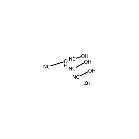 N#CO.N#CO.N#CO.N#CO.[Zn]